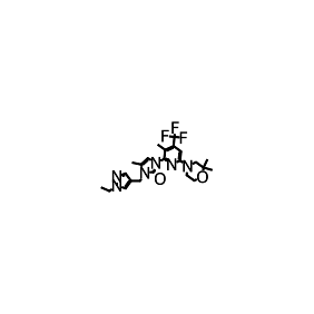 CCn1cc(Cn2c(C)cn(-c3nc(N4CCOC(C)(C)C4)cc(C(F)(F)F)c3C)c2=O)cn1